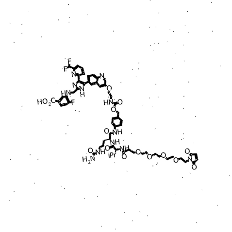 CC(C)[C@H](NC(=O)CCOCCOCCOCCOCCN1C(=O)C=CC1=O)C(=O)N[C@@H](CCCNC(N)=O)C(=O)Nc1ccc(COC(=O)NCCOc2cnc3ccc(-c4[nH]c(CNc5cc(C(=O)O)ccc5F)nc4-c4cccc(C(F)F)n4)cc3c2)cc1